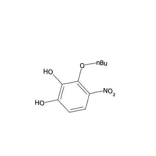 CCCCOc1c([N+](=O)[O-])ccc(O)c1O